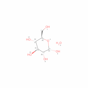 O.OC[C@H]1O[C@H](O)[C@H](O)[C@@H](O)[C@@H]1O